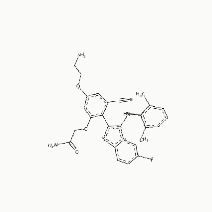 Cc1cccc(C)c1Nc1c(-c2c(C#N)cc(OCCN)cc2OCC(N)=O)nc2ccc(F)cn12